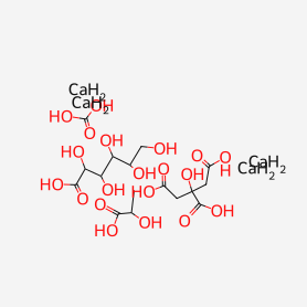 CC(O)C(=O)O.O=C(O)C(O)C(O)C(O)C(O)CO.O=C(O)CC(O)(CC(=O)O)C(=O)O.O=C(O)O.[CaH2].[CaH2].[CaH2].[CaH2]